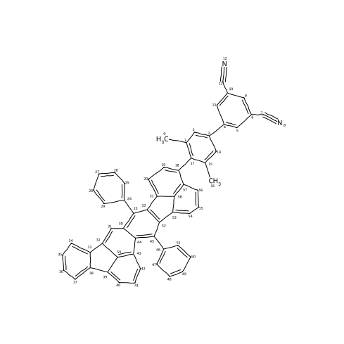 Cc1cc(-c2cc(C#N)cc(C#N)c2)cc(C)c1-c1ccc2c3c(-c4ccccc4)c4cc5c6ccccc6c6cccc(c4c(-c4ccccc4)c3c3cccc1c23)c65